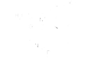 C=CC(=O)N1Cc2sc(Cl)cc2[C@@H](c2ccccc2-c2cccnc2F)C1